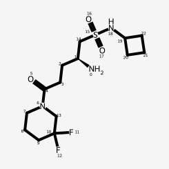 N[C@@H](CCC(=O)N1CCCC(F)(F)C1)CS(=O)(=O)NC1CCC1